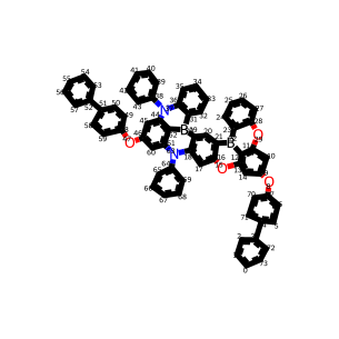 c1ccc(-c2ccc(Oc3cc4c5c(c3)Oc3cc6c(cc3B5c3ccccc3O4)B3c4ccccc4N(c4ccccc4)c4cc(Oc5ccc(-c7ccccc7)cc5)cc(c43)N6c3ccccc3)cc2)cc1